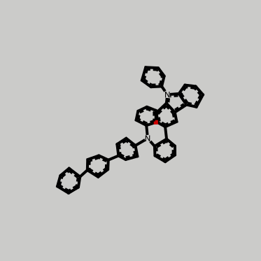 c1ccc(-c2ccc(-c3ccc(N(c4ccccc4)c4ccccc4-c4ccc5c(c4)c4ccccc4n5-c4ccccc4)cc3)cc2)cc1